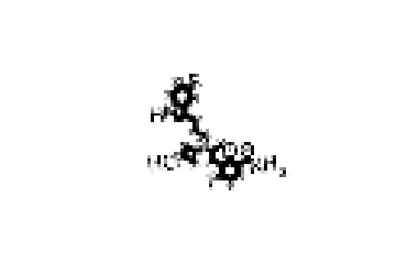 Cl.NC(=O)c1ccc(F)c2c1OCC(N(CCCc1c[nH]c3ccc(F)cc13)C1CCC1)C2